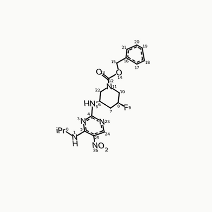 CC(C)Nc1nc(N[C@H]2C[C@H](F)CN(C(=O)OCc3ccccc3)C2)ncc1[N+](=O)[O-]